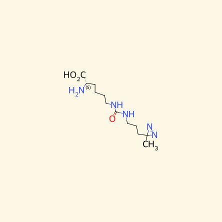 CC1(CCCNC(=O)NCCCC[C@H](N)C(=O)O)N=N1